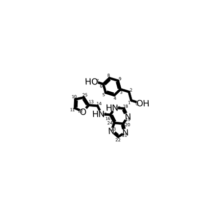 OCCc1ccc(O)cc1.c1coc(CNc2[nH]cnc3ncnc2-3)c1